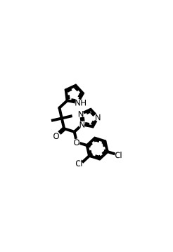 CC(C)(Cc1ccc[nH]1)C(=O)C(Oc1ccc(Cl)cc1Cl)n1cncn1